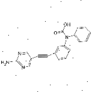 Nc1ncc(C#Cc2cccc(N(C(=O)O)c3ccccc3)c2)cn1